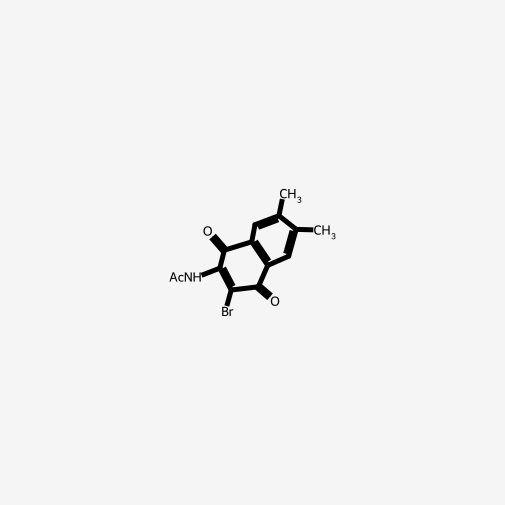 CC(=O)NC1=C(Br)C(=O)c2cc(C)c(C)cc2C1=O